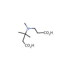 CN(CCC(=O)O)C(C)(C)CC(=O)O